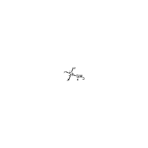 C[Se](C)(C)[SiH3]